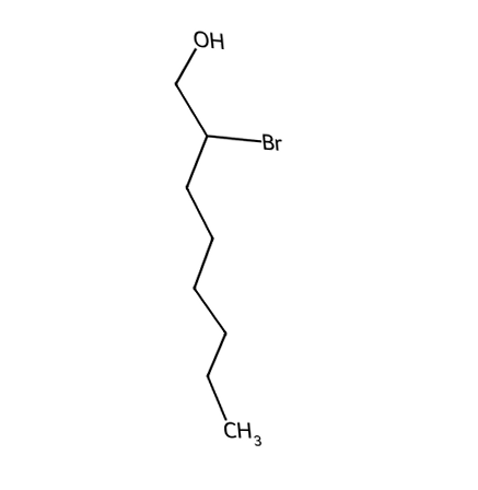 CCCCCCC(Br)CO